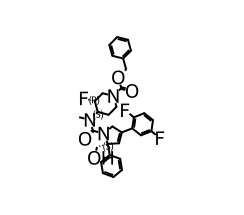 CN(C(=O)N1CC(c2cc(F)ccc2F)=C[C@@]1(CO)c1ccccc1)[C@H]1CCN(C(=O)OCc2ccccc2)C[C@H]1F